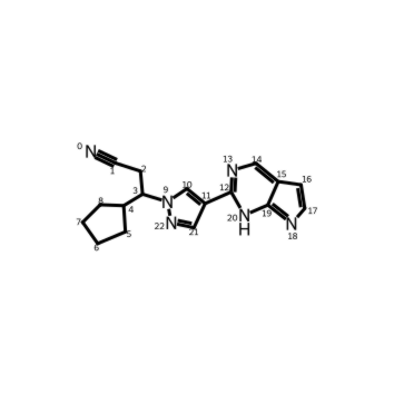 N#CCC(C1CCCC1)n1cc(-c2ncc3ccnc-3[nH]2)cn1